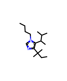 CCCCn1cnc(C(C)(C)CC)c1C(C)C(C)C